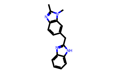 Cc1nc2ccc(Cc3nc4ccccc4[nH]3)cc2n1C